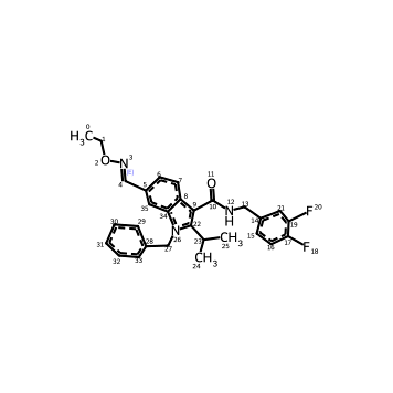 CCO/N=C/c1ccc2c(C(=O)NCc3ccc(F)c(F)c3)c(C(C)C)n(Cc3ccccc3)c2c1